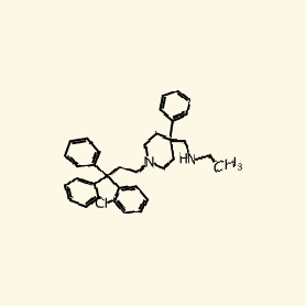 CCNCC1(c2ccccc2)CCN(CCC(c2ccccc2)(c2ccccc2)c2ccccc2Cl)CC1